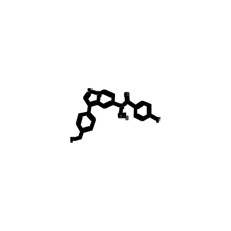 CN(C(=O)c1ccc(F)cc1)c1ccn2ncc(-c3ccc(CF)cc3)c2c1